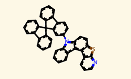 c1ccc2c(c1)-c1ccccc1C21c2ccccc2-c2ccc(-n3c4ccccc4c4c5c(ccc43)sc3ncccc35)cc21